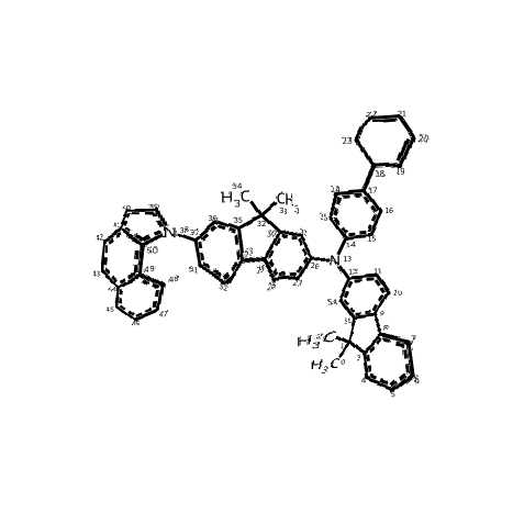 CC1(C)c2ccccc2-c2ccc(N(c3ccc(C4C=CC=CC4)cc3)c3ccc4c(c3)C(C)(C)c3cc(-n5ccc6ccc7ccccc7c65)ccc3-4)cc21